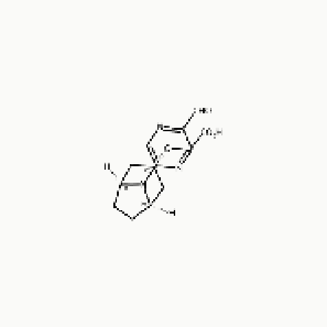 O=Cc1cnc(N2[C@@H]3CC[C@H]2C[C@H](OCC(=O)O)C3)cn1